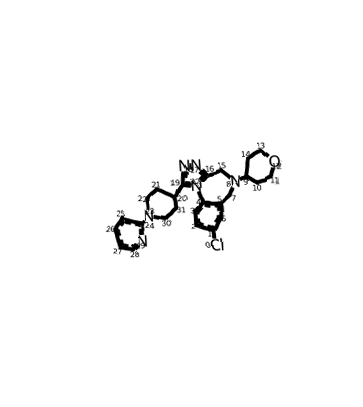 Clc1ccc2c(c1)CN(C1CCOCC1)Cc1nnc(C3CCN(c4ccccn4)CC3)n1-2